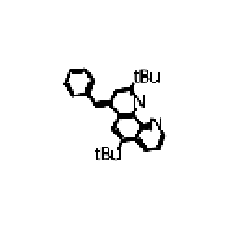 CC(C)(C)C1=Nc2c(cc(C(C)(C)C)c3cccnc23)C(=Cc2ccccc2)C1